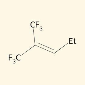 CCC=C(C(F)(F)F)C(F)(F)F